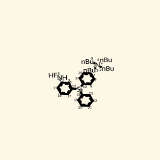 CCCC[N+](CCCC)(CCCC)CCCC.F.N.c1ccc([Si](c2ccccc2)c2ccccc2)cc1